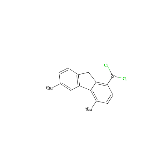 CC(C)(C)c1ccc2c(c1)-c1c(C(C)(C)C)cc[c]([Zr]([Cl])[Cl])c1C2